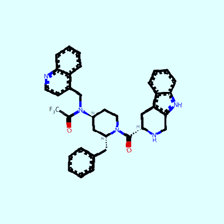 O=C([C@@H]1Cc2c([nH]c3ccccc23)CN1)N1CC[C@H](N(Cc2ccnc3ccccc23)C(=O)C(F)(F)F)C[C@H]1Cc1ccccc1